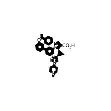 CC(Oc1cccc(-c2cccc(-n3ncc(C(=O)O)c3[C@@H]3C[C@H]3c3cn(C4CCN(C)CC4)nn3)c2)c1)C1CCCCC1